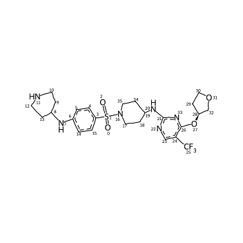 O=S(=O)(c1ccc(NC2CCNCC2)cc1)N1CCC(Nc2ncc(C(F)(F)F)c(O[C@H]3CCOC3)n2)CC1